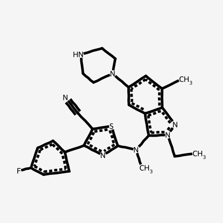 CCn1nc2c(C)cc(N3CCNCC3)cc2c1N(C)c1nc(-c2ccc(F)cc2)c(C#N)s1